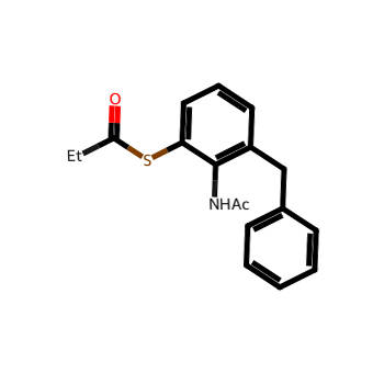 CCC(=O)Sc1cccc(Cc2ccccc2)c1NC(C)=O